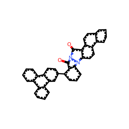 O=c1c2c(-c3ccc4c5ccccc5c5ccccc5c4c3)cccc2n2c3ccc4c5ccccc5ccc4c3c(=O)n12